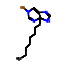 CCCCCCCCC12N=CN(S)C=C1N=CN2